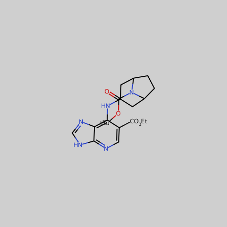 CCOC(=O)c1cnc2[nH]cnc2c1NC1CC2CCC(C1)N2C(=O)OC(C)(C)C